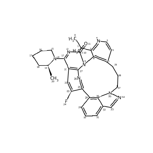 CC(C)c1nccc2c1-n1c(=O)nc(N3CCCC[C@@H]3C)c3cc(F)c(nc31)-c1cccc3cnn(c13)CCC2